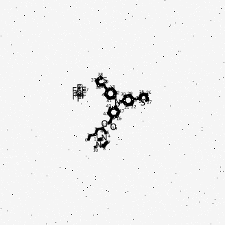 CCCCC(C[n+]1ccn(C)c1)OC(=O)c1ccc(N(c2ccc(-c3cccs3)cc2)c2ccc(-c3cccs3)cc2)cc1.F[P-](F)(F)(F)(F)F